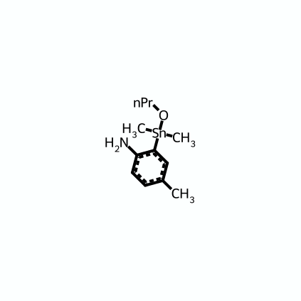 CCC[O][Sn]([CH3])([CH3])[c]1cc(C)ccc1N